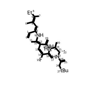 C=C/C(=C\C(C)=C(/C)CC)N/C(C)=C(/C=C(/F)C(=C)NC(C)[C@H](C)NC(=C)CC(C)(C)C)C(=C)N